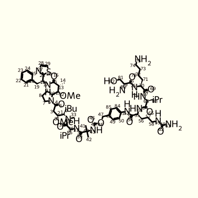 CC[C@H](C)[C@@H]([C@@H](CC(=O)N1CCC[C@H]1[C@H](OC)[C@@H](C)C(=O)N[C@@H](Cc1ccccc1)c1nccs1)OC)N(C)C(=O)[C@@H](NC(=O)C(C)(C)NC(=O)OCc1ccc(NC(=O)[C@H](CCCNC(N)=O)NC(=O)[C@@H](NC(=O)[C@H](CCCCN)NC(=O)[C@H](N)CO)C(C)C)cc1)C(C)C